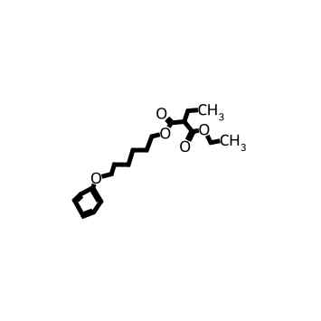 CCOC(=O)C(CC)C(=O)OCCCCCCOc1ccccc1